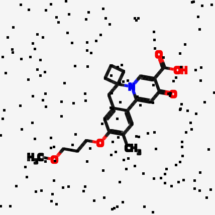 COCCCOc1cc2c(cc1C)-c1cc(=O)c(C(=O)O)cn1C1(CCC1)C2